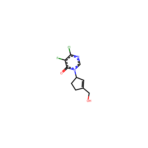 O=c1c(F)c(Cl)ncn1C1C=C(CO)CC1